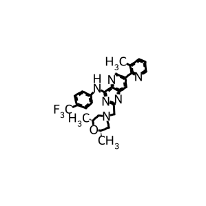 Cc1cccnc1-c1cnc2c(Nc3ccc(C(F)(F)F)cc3)nc(CN3C[C@@H](C)O[C@@H](C)C3)nc2c1